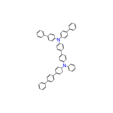 C1=CC(N(c2ccccc2)c2ccc(-c3ccc(N(c4ccc(-c5ccccc5)cc4)c4ccc(-c5ccccc5)cc4)cc3)cc2)CC=C1c1ccc(-c2ccccc2)cc1